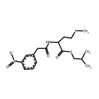 CSCCC(NC(=O)Cc1cccc([N+](=O)[O-])c1)C(=O)OCC(C)C